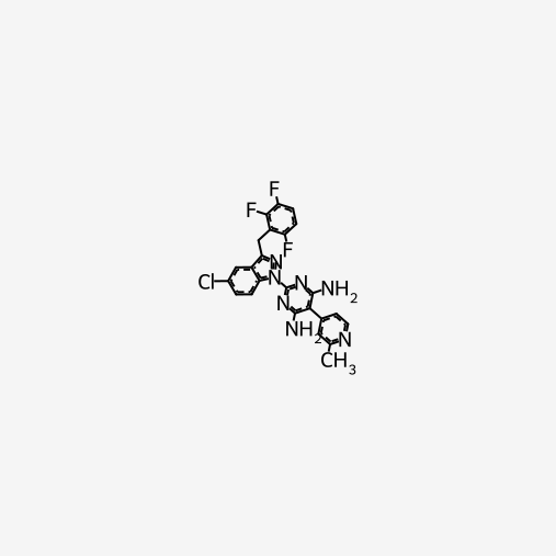 Cc1cc(-c2c(N)nc(-n3nc(Cc4c(F)ccc(F)c4F)c4cc(Cl)ccc43)nc2N)ccn1